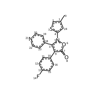 Cc1csc(-n2oc(=O)c(-c3ccc(F)cc3)c2-c2ccncc2)c1